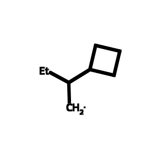 [CH2]C(CC)C1CCC1